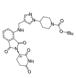 CC(C)(C)OC(=O)N1CCC(n2cc(CNc3cccc4c3C(=O)N([C@@H]3CCC(=O)NC3=O)C4=O)cn2)CC1